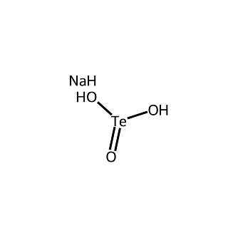 O=[Te](O)O.[NaH]